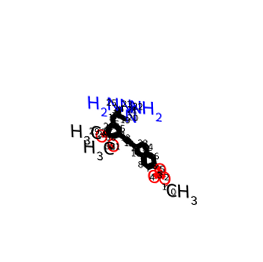 CCOC(=O)Oc1ccc2cc(C#Cc3cc(Cc4cnc(N)nc4N)cc(OC)c3OC)ccc2c1